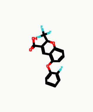 O=C(O)C1=Cc2c(Oc3ccccc3F)cccc2OC1C(F)(F)F